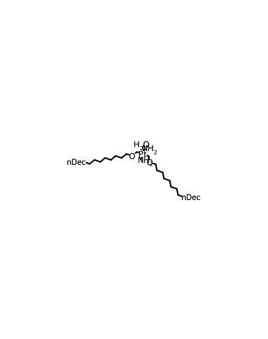 CCCCCCCCCCCCCCCCCCO[CH2][Pt]([NH2])([NH2])[CH2]OCCCCCCCCCCCCCCCCCC.O